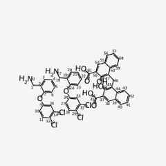 NCc1ccccc1Oc1ccc(Cl)c(Cl)c1.NCc1ccccc1Oc1ccc(Cl)c(Cl)c1.O=C(O)c1cc2ccccc2c(Cc2c(O)c(C(=O)O)cc3ccccc23)c1O